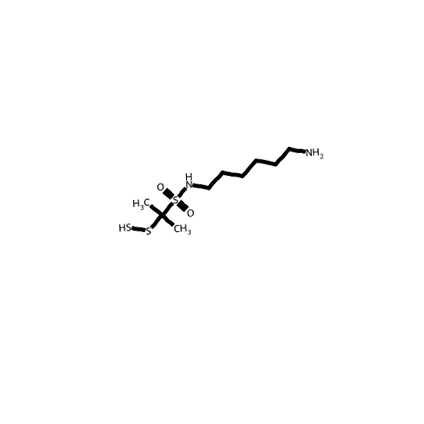 CC(C)(SS)S(=O)(=O)NCCCCCCN